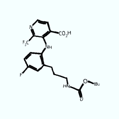 CC(C)(C)OC(=O)NCCCc1cc(F)ccc1Nc1c(C(=O)O)ccnc1C(F)(F)F